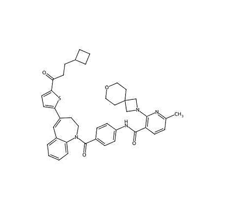 Cc1ccc(C(=O)Nc2ccc(C(=O)N3CCC(c4ccc(C(=O)CCC5CCC5)s4)=Cc4ccccc43)cc2)c(N2CC3(CCOCC3)C2)n1